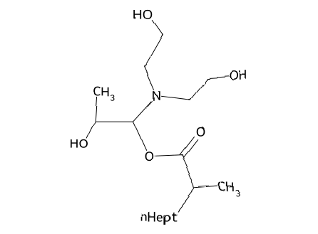 CCCCCCCC(C)C(=O)OC(C(C)O)N(CCO)CCO